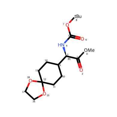 COC(=O)[C@H](NC(=O)OC(C)(C)C)C1CCC2(CC1)OCCO2